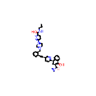 CCCNC(O)c1ccc(N2CCN(Cc3ccccc3C#Cc3ccc(-c4cc(C(=O)N(C)C)c(O)c5ccccc45)nc3)CC2)nn1